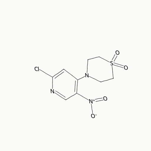 O=[N+]([O-])c1cnc(Cl)cc1N1CCS(=O)(=O)CC1